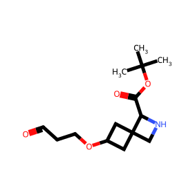 CC(C)(C)OC(=O)C1NCC12CC(OCCC=O)C2